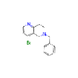 Brc1ccnc2c1CN(Cc1ccccc1)CC2